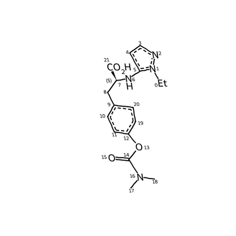 CCn1nccc1N[C@@H](Cc1ccc(OC(=O)N(C)C)cc1)C(=O)O